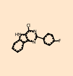 Fc1ccc(-c2nc(Cl)c3[nH]c4ccccc4c3n2)cc1